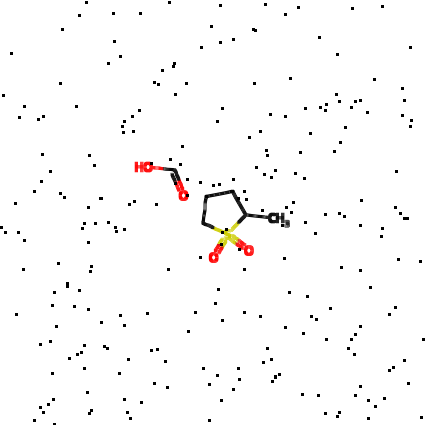 CC1CCCS1(=O)=O.O=CO